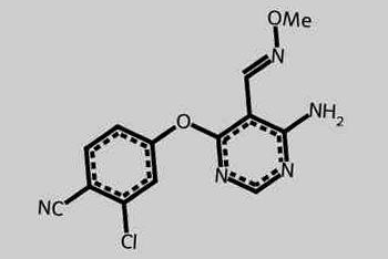 CON=Cc1c(N)ncnc1Oc1ccc(C#N)c(Cl)c1